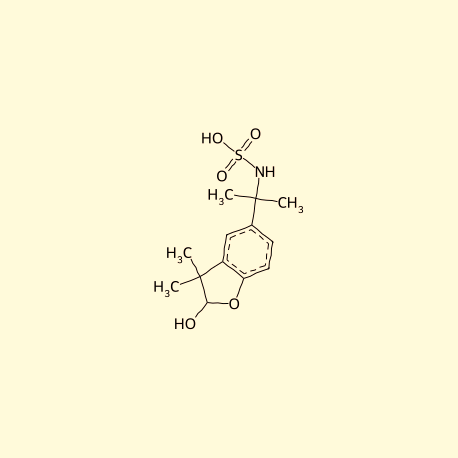 CC(C)(NS(=O)(=O)O)c1ccc2c(c1)C(C)(C)C(O)O2